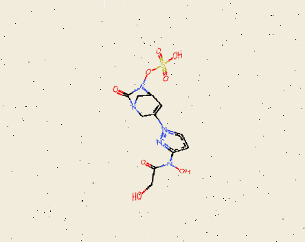 O=C(CO)N(O)c1ccn(C2=CC3CN(C2)C(=O)N3OS(=O)(=O)O)n1